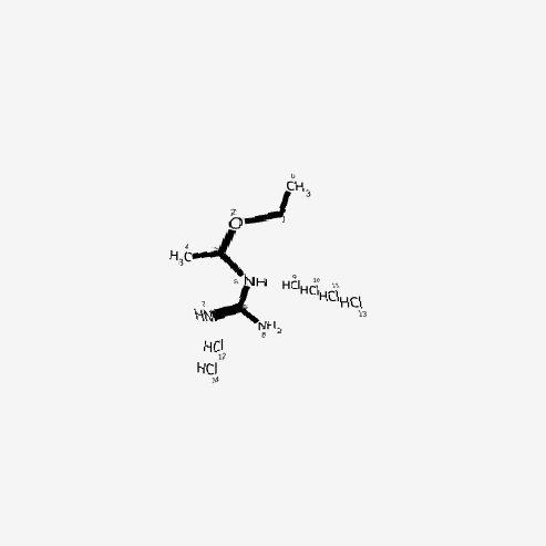 CCOC(C)NC(=N)N.Cl.Cl.Cl.Cl.Cl.Cl